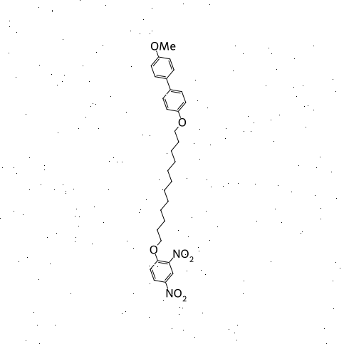 COc1ccc(-c2ccc(OCCCCCCCCCCCCOc3ccc([N+](=O)[O-])cc3[N+](=O)[O-])cc2)cc1